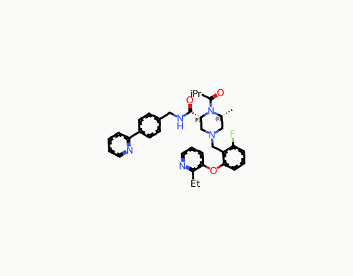 CCc1ncccc1Oc1cccc(F)c1CN1C[C@@H](C)N(C(=O)C(C)C)[C@@H](C(=O)NCc2ccc(-c3ccccn3)cc2)C1